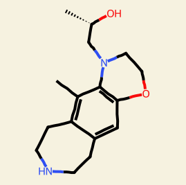 Cc1c2c(cc3c1N(C[C@H](C)O)CCO3)CCNCC2